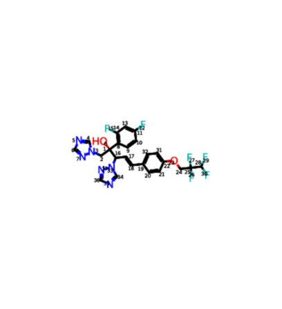 O[C@@](Cn1cncn1)(c1ccc(F)cc1F)C(/C=C/c1ccc(OCC(F)(F)C(F)F)cc1)n1cncn1